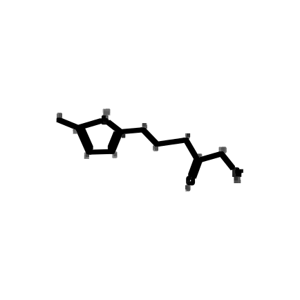 Cc1ccc(CCCC(=O)CBr)s1